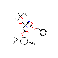 CC1CCC(C(C)C)C(OC(=O)CC(C#N)(NC(=O)OCc2ccccc2)C(=O)OC(C)(C)C)C1